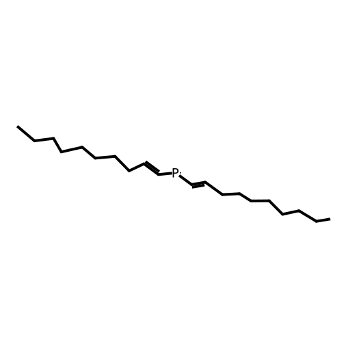 CCCCCCCCC=C[P]C=CCCCCCCCC